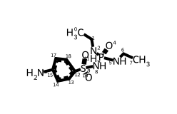 CCNP(=O)(NCC)NS(=O)(=O)c1ccc(N)cc1